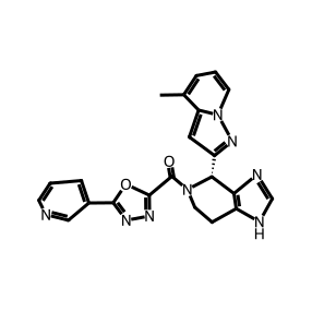 Cc1cccn2nc([C@@H]3c4nc[nH]c4CCN3C(=O)c3nnc(-c4cccnc4)o3)cc12